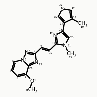 COc1cccn2nc(C=Cc3nc(-c4cscc4C)cn3C)nc12